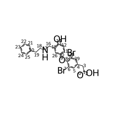 O=C(O)Cc1cc(Br)c(Oc2ccc(O)c(CNCCc3ccccc3)c2)c(Br)c1